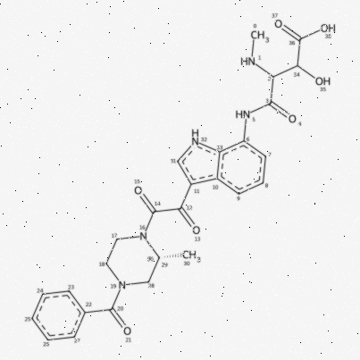 CNC(C(=O)Nc1cccc2c(C(=O)C(=O)N3CCN(C(=O)c4ccccc4)C[C@H]3C)c[nH]c12)C(O)C(=O)O